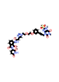 Cn1c(=O)c2c(nc(S(C)(=O)=O)n2C)n(CC#Cc2cccc(OCCOCCn3cc(CC(=O)Nc4cccc5c4C(=O)N(C4CCC(=O)NC4=O)C5=O)nn3)c2)c1=O